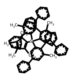 CC1=C(C)C(C)C([Si](c2cc(-c3ccccc3)cc(C)c2-c2ccccc2)(c2cc(-c3ccccc3)cc(C)c2-c2ccccc2)c2cc(-c3ccccc3)cc(C)c2-c2ccccc2)=C1C